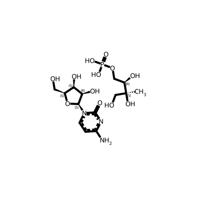 C[C@](O)(CO)[C@H](O)COP(=O)(O)O.Nc1ccn([C@H]2O[C@@H](CO)[C@@H](O)[C@H]2O)c(=O)n1